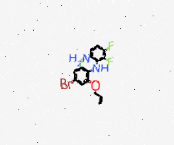 C=CCOc1cc(Br)cc(F)c1Nc1c(N)ccc(F)c1F